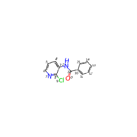 O=C(Nc1cccnc1Cl)c1ccccc1